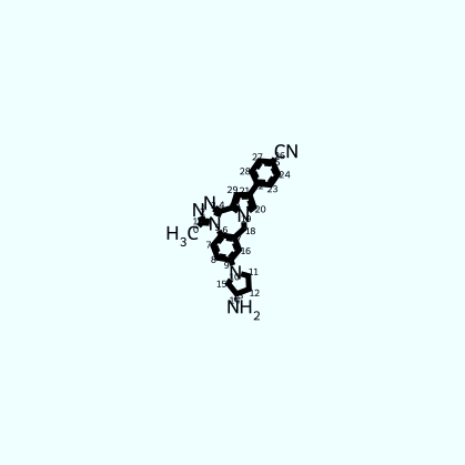 Cc1nnc2n1-c1ccc(N3CC[C@H](N)C3)cc1Cn1cc(-c3ccc(C#N)cc3)cc1-2